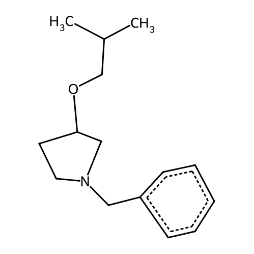 CC(C)COC1CCN(Cc2ccccc2)C1